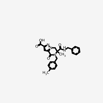 Cc1ccc(CN2C(=O)c3cc(C(=O)O)nn3CC2(C)C(=O)NCc2ccccc2)cc1